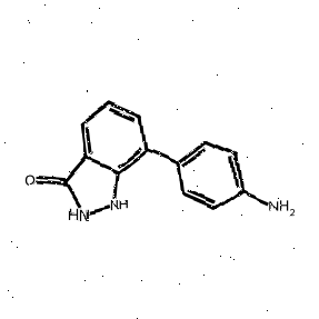 Nc1ccc(-c2cccc3c(=O)[nH][nH]c23)cc1